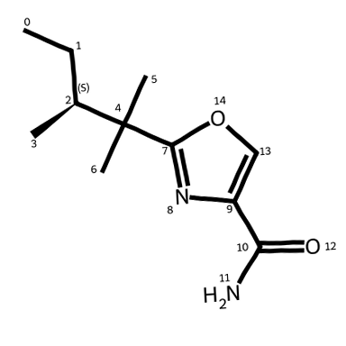 CC[C@H](C)C(C)(C)c1nc(C(N)=O)co1